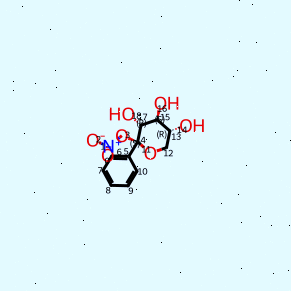 O=[N+]([O-])O[C@]1(c2ccccc2)OC[C@@H](O)[C@H](O)[C@H]1O